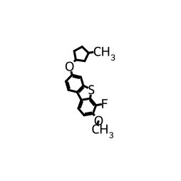 COc1ccc2c(sc3cc(OC4CCC(C)C4)ccc32)c1F